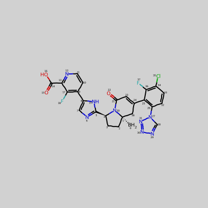 B[C@]12CC[C@@H](c3ncc(-c4ccnc(C(=O)O)c4F)[nH]3)N1C(=O)C=C(c1c(-n3cnnn3)ccc(Cl)c1F)C2